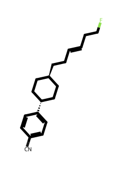 N#Cc1ccc([C@H]2CC[C@H](CCC=CCCF)CC2)cc1